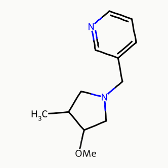 COC1CN(Cc2cccnc2)CC1C